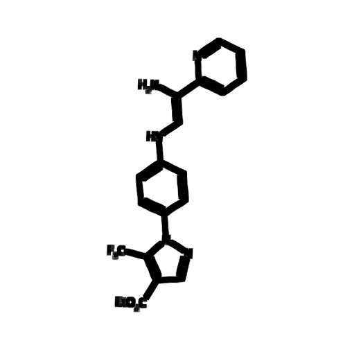 CCOC(=O)c1cnn(-c2ccc(N/C=C(\N)c3ccccn3)cc2)c1C(F)(F)F